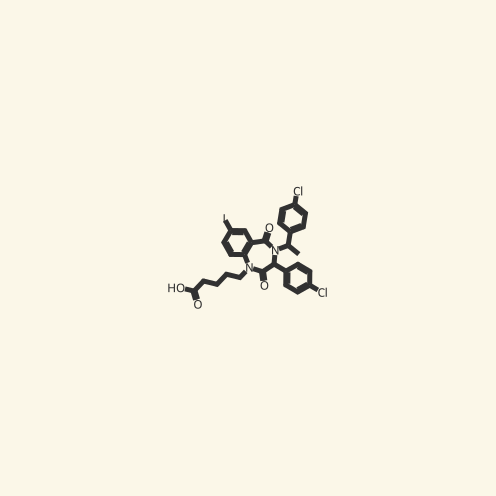 CC(c1ccc(Cl)cc1)N1C(=O)c2cc(I)ccc2N(CCCCC(=O)O)C(=O)C1c1ccc(Cl)cc1